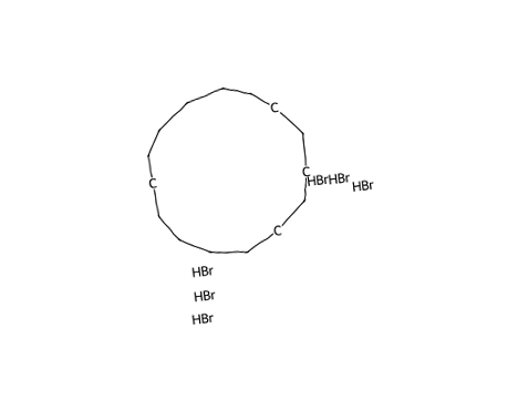 Br.Br.Br.Br.Br.Br.C1CCCCCCCCCCCCCC1